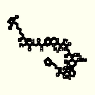 CCC(C)C(C(CC(=O)N1CCCC1C(OC)C(C)C(=O)NSCc1ccccc1)OC)N(C)C(=O)CNC(=O)C(C(C)C)N(C)C(=O)OCc1ccc(NC(=O)CNC(=O)C(NC(=O)CCCCCN2C(=O)C=CC2=O)C(C)C)cc1